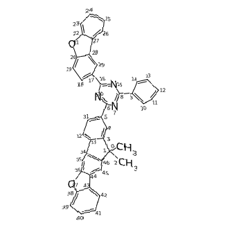 CC1(C)c2cc(-c3nc(-c4ccccc4)nc(-c4ccc5oc6ccccc6c5c4)n3)ccc2-c2cc3oc4ccccc4c3cc21